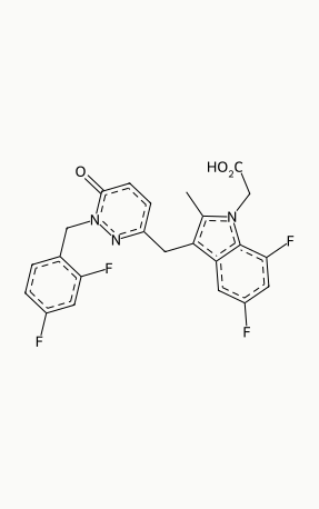 Cc1c(Cc2ccc(=O)n(Cc3ccc(F)cc3F)n2)c2cc(F)cc(F)c2n1CC(=O)O